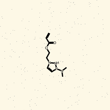 C=CC(=O)OCCN1C=CN(N(C)C)N1